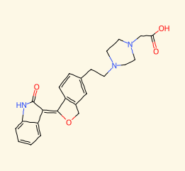 O=C(O)CN1CCN(CCc2ccc3c(c2)CO/C3=C2/C(=O)Nc3ccccc32)CC1